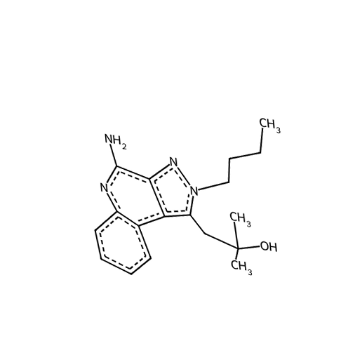 CCCCn1nc2c(N)nc3ccccc3c2c1CC(C)(C)O